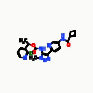 C[C@@H](OC(=O)Nc1c(-c2ccc(NC(=O)C34CC(C3)C4)cn2)nnn1C)c1cccnc1Cl